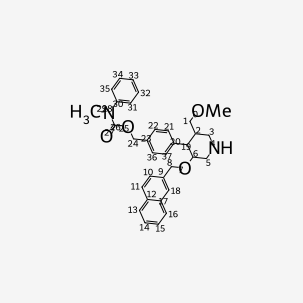 COCC1CNCC(OCc2ccc3ccccc3c2)C1c1ccc(COC(=O)N(C)c2ccccc2)cc1